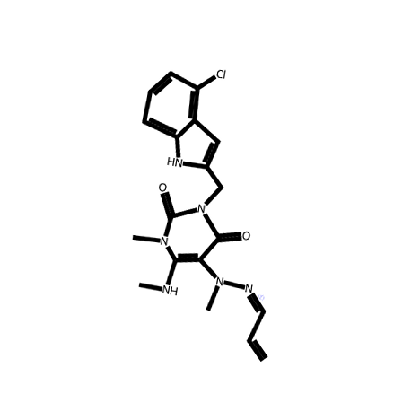 C=C/C=N\N(C)c1c(NC)n(C)c(=O)n(Cc2cc3c(Cl)cccc3[nH]2)c1=O